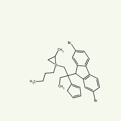 CCC[CH2][Zr]1([CH2]C(CC)(C2=CC=CC2)C2c3cc(Br)ccc3-c3ccc(Br)cc32)[CH2][CH]1C